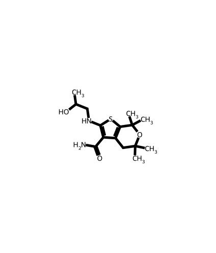 CC(O)CNc1sc2c(c1C(N)=O)CC(C)(C)OC2(C)C